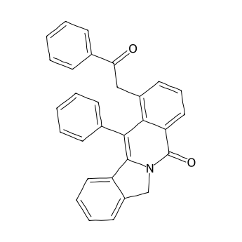 O=C(Cc1cccc2c(=O)n3c(c(-c4ccccc4)c12)-c1ccccc1C3)c1ccccc1